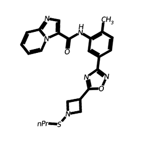 CCCSN1CC(c2nc(-c3ccc(C)c(NC(=O)c4cnc5ccccn45)c3)no2)C1